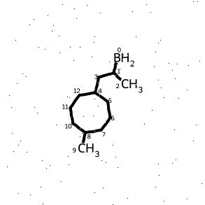 BC(C)CC1CCCC(C)CCC1